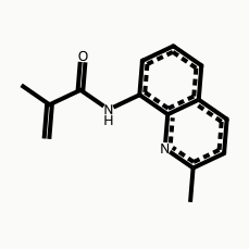 C=C(C)C(=O)Nc1cccc2ccc(C)nc12